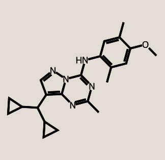 COc1cc(C)c(Nc2nc(C)nc3c(C(C4CC4)C4CC4)cnn23)cc1C